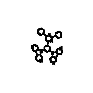 c1ccc(-c2cc(-c3cc(-n4c5ccncc5c5ccncc54)cc(-n4c5ccncc5c5ccncc54)c3)nc(-c3ccccc3)n2)cc1